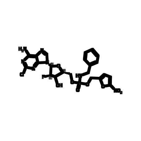 Nc1nc(Cl)nc2c1ncn2[C@@H]1O[C@H](COP(=O)(NCc2ccccc2)OCc2ccc([N+](=O)[O-])o2)C(O)[C@H]1F